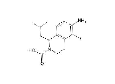 CC(C)CC1c2ccc(N)c(F)c2CCN1C(=O)O